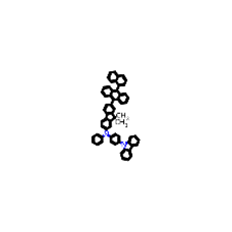 CC1(C)c2cc(-c3c4ccccc4c(-c4cccc5ccccc45)c4ccccc34)ccc2-c2ccc(N(c3ccccc3)c3ccc(-n4c5ccccc5c5ccccc54)cc3)cc21